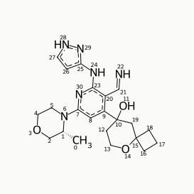 C[C@@H]1COCCN1c1cc(C2(O)CCOC3(CCC3)C2)c(C=N)c(Nc2cc[nH]n2)n1